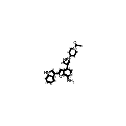 CC(=O)N1CCC(n2cc(-c3cnc(N)c4oc(-c5c[nH]c6ccccc56)cc34)cn2)CC1